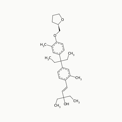 CCC(O)(C=Cc1ccc(C(CC)(CC)c2ccc(OC[C@H]3CCCO3)c(C)c2)cc1C)CC